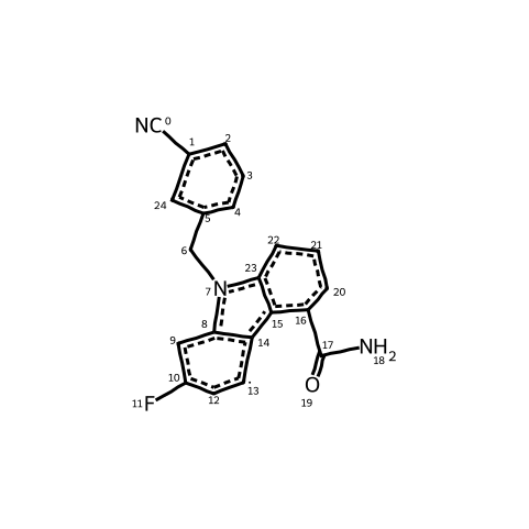 N#Cc1cccc(Cn2c3cc(F)c[c]c3c3c(C(N)=O)cccc32)c1